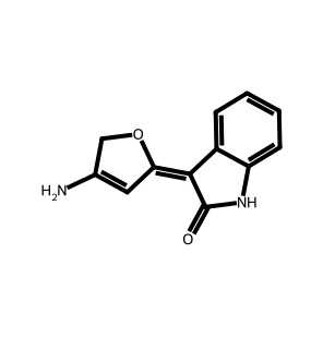 NC1=C/C(=C2\C(=O)Nc3ccccc32)OC1